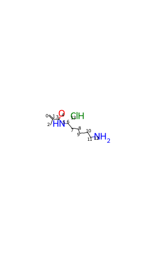 C=C(C)C(=O)NCCCCCCN.Cl